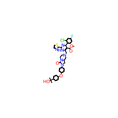 COC(=O)C1=C(CN2CCN3C(=O)N(c4ccc(Oc5ccc(C(C)(C)O)cc5)cc4)CC3C2)NC(c2nccs2)=NC1c1ccc(F)cc1Cl